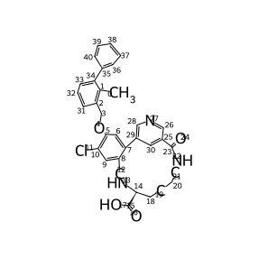 Cc1c(COc2cc3c(cc2Cl)CN[C@H](C(=O)O)CCCCNC(=O)c2cncc-3c2)cccc1-c1ccccc1